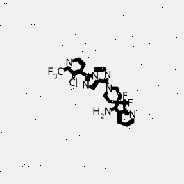 NC1c2cccnc2C(F)(F)C12CCN(c1nccn3c(-c4ccnc(C(F)(F)F)c4Cl)ncc13)CC2